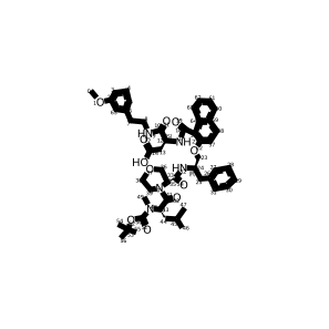 COc1cccc(CCNC(=O)[C@H](CC(=O)O)NC(=O)c2c(OC[C@@H](Cc3ccccc3)NC(=O)[C@H]3COCCN3C(=O)[C@H](CC(C)C)N(C)C(=O)OC(C)(C)C)ccc3ccccc23)c1